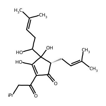 CC(C)=CCC(O)C1(O)C(O)=C(C(=O)CC(C)C)C(=O)[C@H]1CC=C(C)C